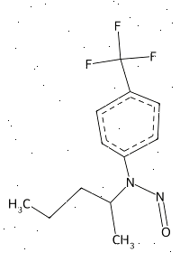 CCCC(C)N(N=O)c1ccc(C(F)(F)F)cc1